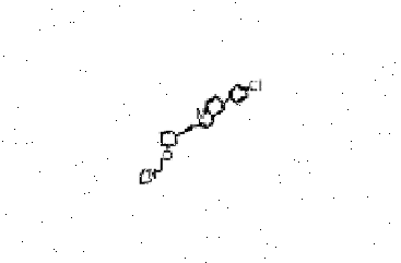 Clc1ccc(-c2ccc3nc(C#Cc4cccc(OCCN5CCCC5)c4)ccc3c2)cc1